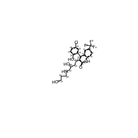 O=c1[nH]c2ccc(C(F)(F)F)cc2c(-c2cc(Cl)ccc2O)c1SCC(O)CNCCCO